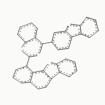 c1cc(-c2nc(-c3ccc4c(c3)oc3ccccc34)c3ccccc3n2)c2c(c1)ccc1c3ccccc3oc12